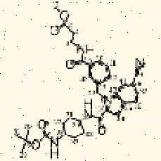 COC(=O)CCNC(=O)c1cccc(Cn2c(C(=O)N[C@H]3CC[C@H](NC(=O)OC(C)(C)C)CC3)cc3ccc(C#N)cc32)c1